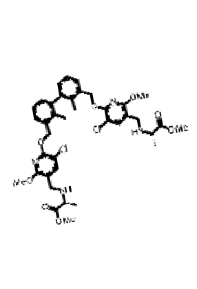 COC(=O)[C@H](C)NCc1cc(Cl)c(OCc2cccc(-c3cccc(COc4nc(OC)c(CN[C@@H](C)C(=O)OC)cc4Cl)c3C)c2C)nc1OC